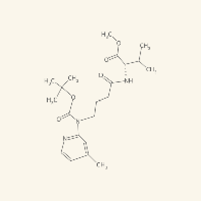 COC(=O)[C@@H](NC(=O)CCCN(C(=O)OC(C)(C)C)c1cc(C)ccn1)C(C)C